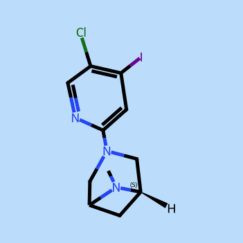 CN1C2C[C@H]1CN(c1cc(I)c(Cl)cn1)C2